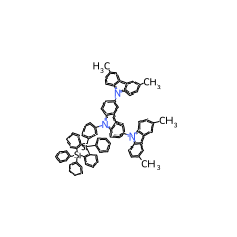 Cc1ccc2c(c1)c1cc(C)ccc1n2-c1ccc2c(c1)c1cc(-n3c4ccc(C)cc4c4cc(C)ccc43)ccc1n2-c1cccc([Si]2(c3ccccc3)c3ccccc3[Si](c3ccccc3)(c3ccccc3)c3ccccc32)c1